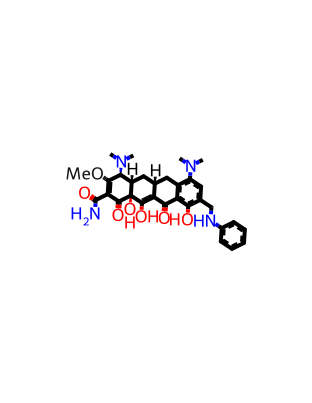 COC1=C(C(N)=O)C(=O)[C@@]2(O)C(O)=C3C(=O)c4c(O)c(CNc5ccccc5)cc(N(C)C)c4C[C@H]3C[C@H]2[C@@H]1N(C)C